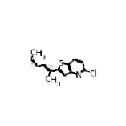 C/C=C\C=C(/C)c1cc2nc(Cl)ccc2s1